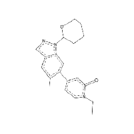 CCn1ccc(-c2cc3c(cnn3C3CCCCO3)cc2C)cc1=O